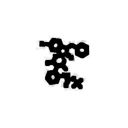 CC1=C(c2ccccc2NC(=O)OC(C)(C)C)C(=O)O[C@]2(C1)C(=O)N(Cc1ccccc1)c1ccc(Br)cc12